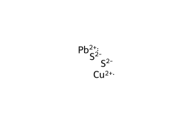 [Cu+2].[Pb+2].[S-2].[S-2]